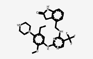 CCc1cc(Nc2ncc(C(F)(F)F)c(NCc3cccc4c3CC(=O)N4)n2)c(OC)cc1N1CCNCC1